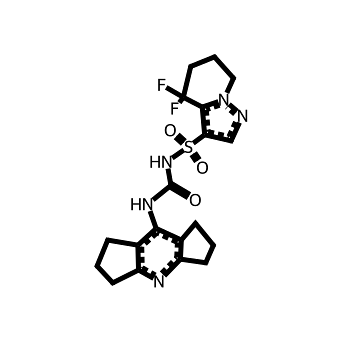 O=C(Nc1c2c(nc3c1CCC3)CCC2)NS(=O)(=O)c1cnn2c1C(F)(F)CCC2